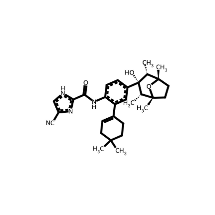 C[C@@H]1[C@@](O)(c2ccc(NC(=O)c3nc(C#N)c[nH]3)c(C3=CCC(C)(C)CC3)c2)[C@H](C)[C@]2(C)CC[C@@]1(C)O2